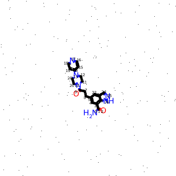 NC(=O)c1cc(C[CH]C(=O)N2CCN(c3ccncc3)CC2)cc2cn[nH]c12